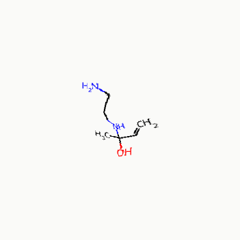 C=CC(C)(O)NCCN